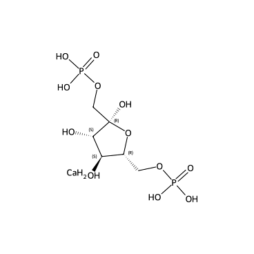 O=P(O)(O)OC[C@H]1O[C@](O)(COP(=O)(O)O)[C@@H](O)[C@@H]1O.[CaH2]